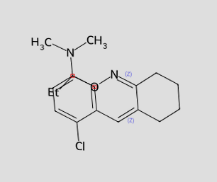 CCC(O/N=C1/CCCC/C1=C/c1ccccc1Cl)N(C)C